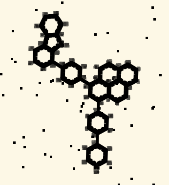 c1cc2ccc3c(-c4ccc(-c5ccncc5)cc4)cc(-c4ccc(-c5cccc6c5sc5ccccc56)cc4)c4ccc(c1)c2c34